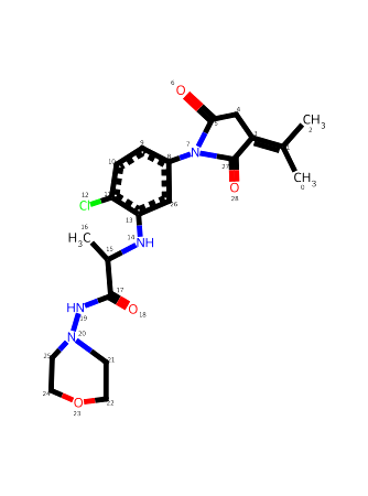 CC(C)=C1CC(=O)N(c2ccc(Cl)c(NC(C)C(=O)NN3CCOCC3)c2)C1=O